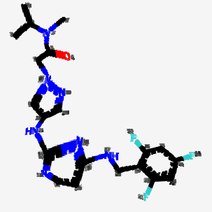 CC(C)N(C)C(=O)Cn1cc(Nc2nccc(NCc3c(F)cc(F)cc3F)n2)cn1